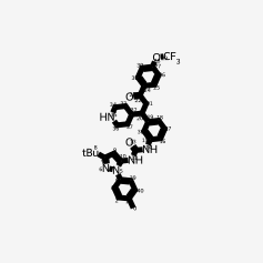 Cc1ccc(-n2nc(C(C)(C)C)cc2NC(=O)Nc2cccc(C(CC(=O)c3ccc(OC(F)(F)F)cc3)C3CCNCC3)c2)cc1